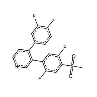 Cc1ccc(-c2ccncc2-c2cc(F)c(S(C)(=O)=O)cc2F)cc1F